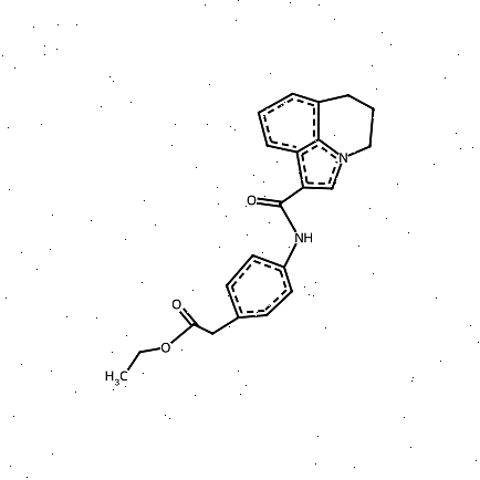 CCOC(=O)Cc1ccc(NC(=O)c2cn3c4c(cccc24)CCC3)cc1